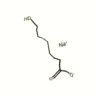 O=C([O-])CCCCCO.[Na+]